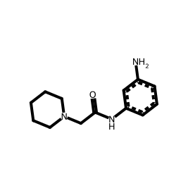 Nc1cccc(NC(=O)CN2CCCCC2)c1